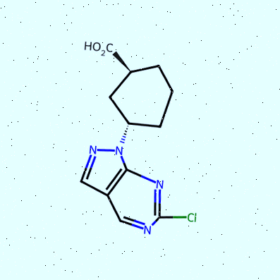 O=C(O)[C@H]1CCC[C@H](n2ncc3cnc(Cl)nc32)C1